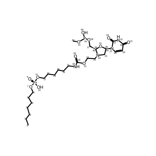 CCCCCCCOP(=O)(O)OCCCCCCNC(=O)OCCN1C[C@H](n2ccc(=O)[nH]c2=O)O[C@@H]1COP(O)OC